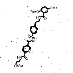 COCCNC(=O)c1ccc(C(=O)NS(=O)(=O)c2ccc(CCNC(=O)c3cc(OC)ccc3OC)cc2)cn1